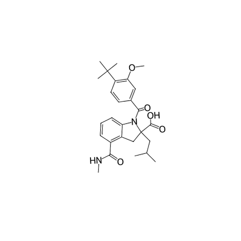 CNC(=O)c1cccc2c1CC(CC(C)C)(C(=O)O)N2C(=O)c1ccc(C(C)(C)C)c(OC)c1